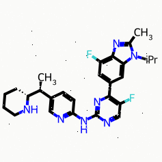 Cc1nc2c(F)cc(-c3nc(Nc4ccc([C@H](C)[C@H]5CCCCN5)cn4)ncc3F)cc2n1C(C)C